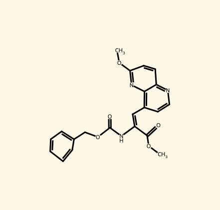 COC(=O)/C(=C\c1ccnc2ccc(OC)nc12)NC(=O)OCc1ccccc1